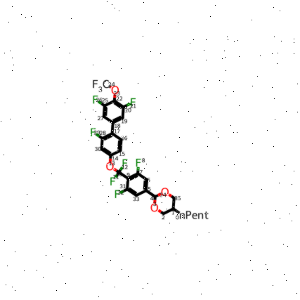 CCCCCC1COC(c2cc(F)c(C(F)(F)Oc3ccc(-c4cc(F)c(OC(F)(F)F)c(F)c4)c(F)c3)c(F)c2)OC1